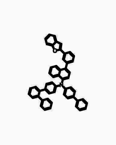 c1ccc(-c2ccc(N(c3ccc(-c4ccccc4-c4ccccc4)cc3)c3ccc(-c4cccc(-c5cc6ccccc6o5)c4)c4ccccc34)cc2)cc1